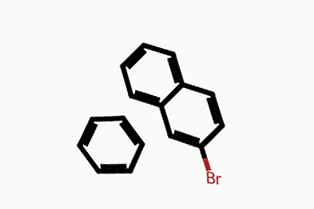 Brc1ccc2ccccc2c1.c1ccccc1